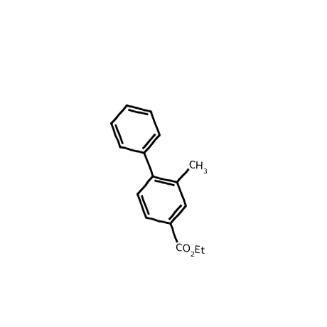 CCOC(=O)c1ccc(-c2ccccc2)c(C)c1